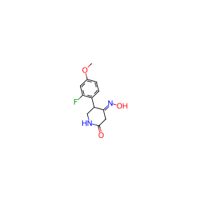 COc1ccc(C2CNC(=O)CC2=NO)c(F)c1